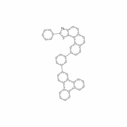 c1ccc(-c2nc3ccc4ccc5ccc(-c6cccc(-c7ccc8c9ccccc9c9ccccc9c8c7)c6)cc5c4c3s2)cc1